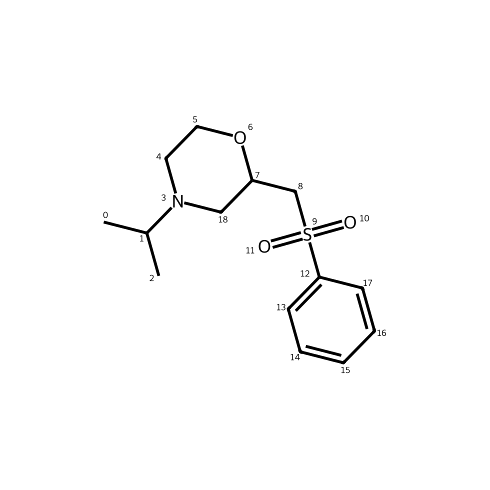 CC(C)N1CCOC(CS(=O)(=O)c2ccccc2)C1